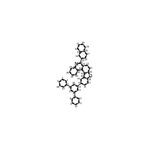 c1ccc(-c2cc(-c3ccccc3)cc(-c3ccc4oc5ccc6c(-c7ccc8ccccc8c7)nc7ccccc7c6c5c4c3)c2)cc1